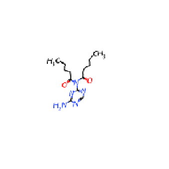 CCCCC(=O)N(C(=O)CCCC)c1ncnc(N)n1